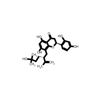 C=C(C)[C@H](CCC(C)(C)O)Cc1c(O)cc(O)c2c1O[C@H](c1ccc(O)cc1O)CC2=O